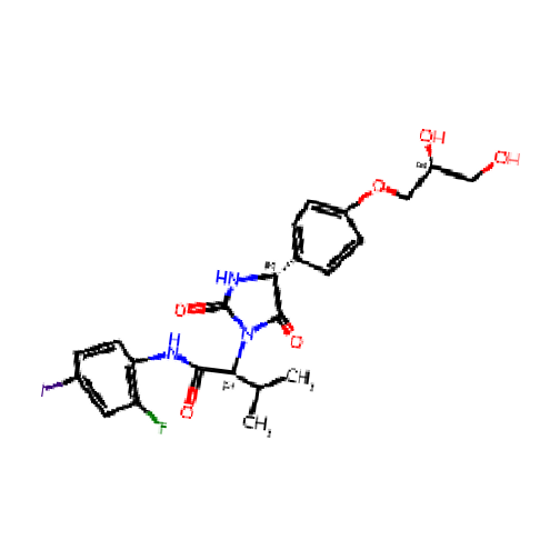 CC(C)[C@@H](C(=O)Nc1ccc(I)cc1F)N1C(=O)N[C@H](c2ccc(OC[C@@H](O)CO)cc2)C1=O